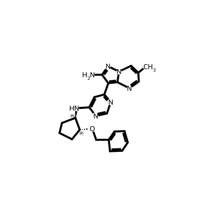 Cc1cnc2c(-c3cc(N[C@@H]4CCC[C@H]4OCc4ccccc4)ncn3)c(N)nn2c1